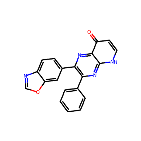 O=c1cc[nH]c2nc(-c3ccccc3)c(-c3ccc4ncoc4c3)nc12